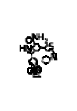 CCS(=O)(=O)N1CCC(c2c[nH]c3c(C(N)=O)cc(-c4csc(CN(C)C5CCCCC5)c4)cc23)CC1